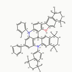 Cc1ccccc1N1c2cc(-c3ccccc3)cc3c2B(c2cc4c(cc2N3c2ccc3c(c2)C(C)(C)CCC3(C)C)C(C)(C)CCC4(C)C)c2c1ccc1c2oc2cc3c(cc21)C(C)(C)CCC3(C)C